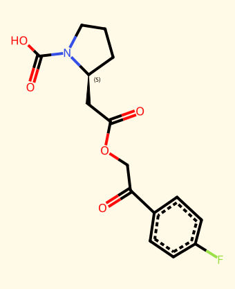 O=C(C[C@@H]1CCCN1C(=O)O)OCC(=O)c1ccc(F)cc1